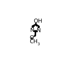 COCc1ncc(O)cn1